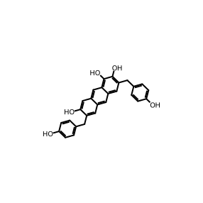 Oc1ccc(Cc2cc3cc4cc(Cc5ccc(O)cc5)c(O)c(O)c4cc3cc2O)cc1